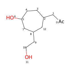 CC(=O)CC1CCC(O)CC(CCO)C1